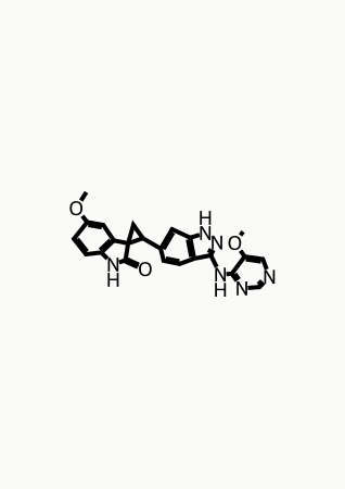 COc1ccc2c(c1)C1(CC1c1ccc3c(Nc4ncncc4OC)n[nH]c3c1)C(=O)N2